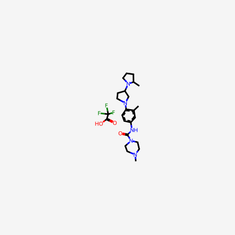 Cc1cc(NC(=O)N2CCN(C)CC2)ccc1N1CCC(N2CCCC2C)C1.O=C(O)C(F)(F)F